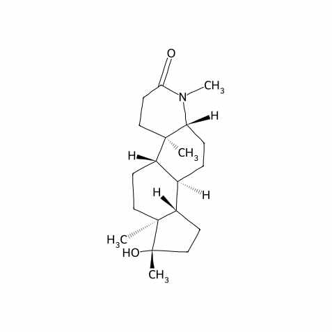 CN1C(=O)CC[C@]2(C)[C@H]3CC[C@@]4(C)[C@@H](CC[C@]4(C)O)[C@@H]3CC[C@@H]12